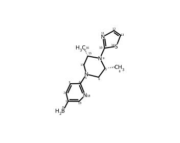 Bc1ccc(N2C[C@@H](C)N(c3nccs3)[C@@H](C)C2)nc1